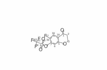 O=C1CCOc2cc(OS(=O)(=O)C(F)(F)F)c(F)cc21